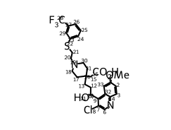 COc1ccc2ncc(Cl)c([C@@H](O)CCC3(CC(=O)O)CCN(CCSc4cccc(C(F)(F)F)c4)CC3)c2c1